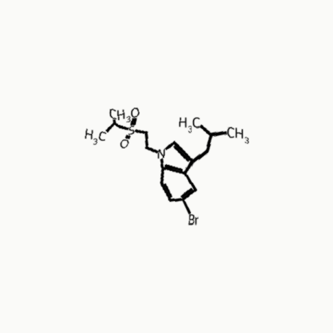 CC(C)Cc1cn(CCS(=O)(=O)C(C)C)c2ccc(Br)cc12